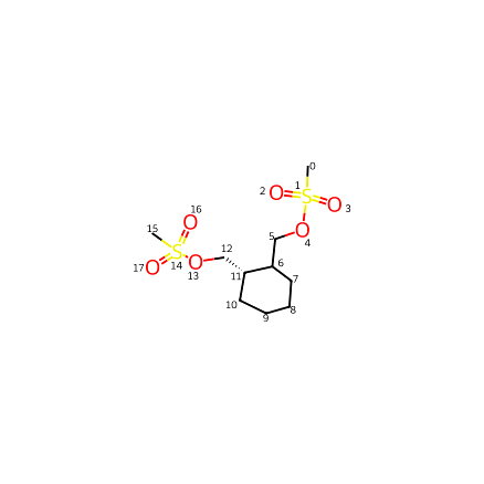 CS(=O)(=O)OCC1CCCC[C@@H]1COS(C)(=O)=O